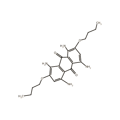 CCCCOc1cc(N)c2c(c1N)C(=O)c1c(N)c(OCCCC)cc(N)c1C2=O